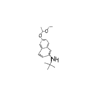 CCOC(C)Oc1ccc2cc(NC(C)(C)C)ccc2c1